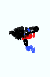 [2H]C([2H])([2H])C([2H])(C([2H])([2H])[2H])C([2H])([2H])N(C[C@@H](O)[C@H](Cc1ccccc1)N(C(=O)O)C(C)(C)C)S(=O)(=O)c1ccc(N)cc1